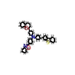 C1=C(c2ccc(N(c3ccc(-c4ccc5c(c4)sc4ccccc45)cc3)c3ccc(-c4nc5ccccc5o4)cc3)cc2)Oc2ccccc2CC1